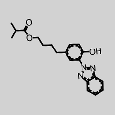 CC(C)C(=O)OCCCCc1ccc(O)c(-n2nc3ccccc3n2)c1